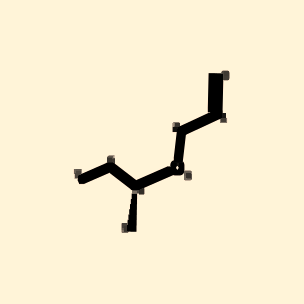 C=CCO[C@H](C)CC